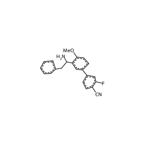 COc1ccc(-c2ccc(C#N)c(F)c2)cc1C(N)Cc1ccccc1